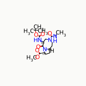 CNC(=O)N1CC[C@H]2CC[C@@H](C(=O)OC)N2C(=O)[C@@H](NC(=O)OC(C)(C)C)C1